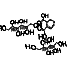 O=C(O)c1ccccc1C(=O)O.OC[C@@H](O)[C@@H](O)[C@H](O)[C@@H](O)CO.OC[C@@H](O)[C@@H](O)[C@H](O)[C@@H](O)CO